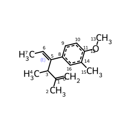 C=C(C)C(C)/C(=C\C)c1ccc(OC)c(C)c1